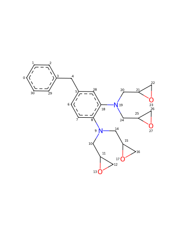 c1ccc(Cc2ccc(N(CC3CO3)CC3CO3)c(N(CC3CO3)CC3CO3)c2)cc1